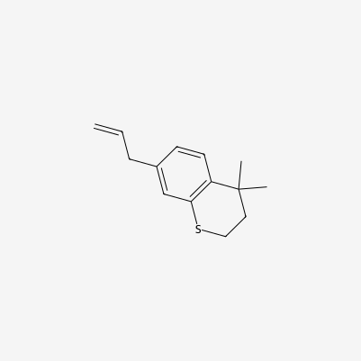 C=CCc1ccc2c(c1)SCCC2(C)C